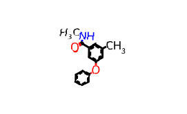 CNC(=O)c1cc(C)cc(Oc2ccccc2)c1